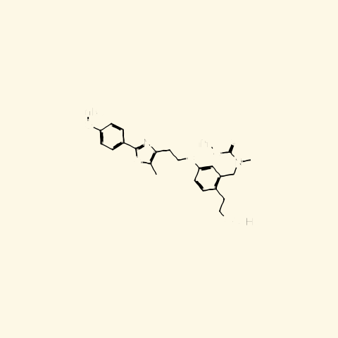 CCCCOc1ccc(-c2nc(CCOc3ccc(CCC(=O)O)c(CN(C)C(=O)OC(C)C)c3)c(C)o2)cc1